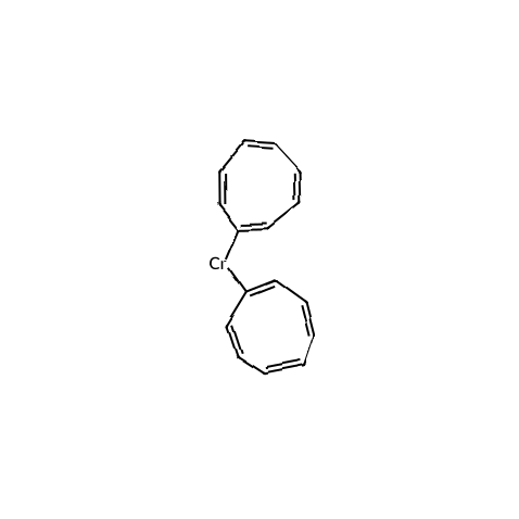 C1=CC=C[C]([Cr][C]2=CC=CC=CC=C2)=CC=C1